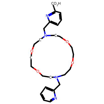 O=C(O)c1cccc(CN2CCOCCOCCN(Cc3ccccn3)CCOCCOCC2)n1